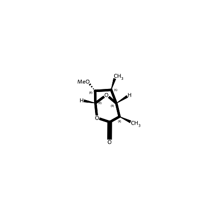 CO[C@H]1[C@H]2OC(=O)[C@H](C)[C@H](O2)[C@@H]1C